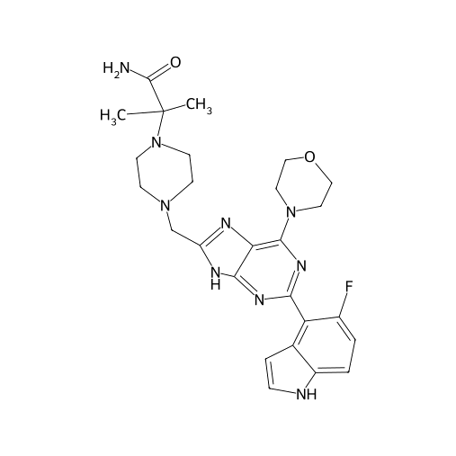 CC(C)(C(N)=O)N1CCN(Cc2nc3c(N4CCOCC4)nc(-c4c(F)ccc5[nH]ccc45)nc3[nH]2)CC1